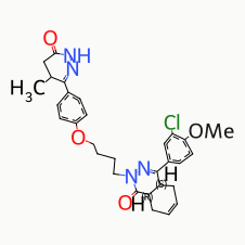 COc1ccc(C2=NN(CCCCOc3ccc(C4=NNC(=O)CC4C)cc3)C(=O)[C@@H]3CC=CC[C@H]23)cc1Cl